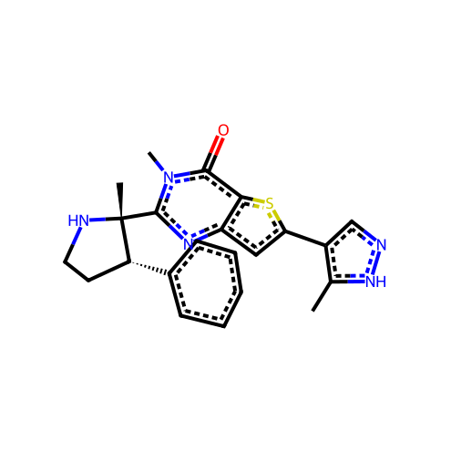 Cc1[nH]ncc1-c1cc2nc([C@@]3(C)NCC[C@H]3c3ccccc3)n(C)c(=O)c2s1